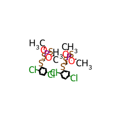 CCOP(=S)(OCC)SCSc1cc(Cl)ccc1Cl.CCOP(=S)(OCC)SCSc1cc(Cl)ccc1Cl